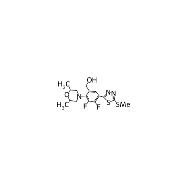 CSc1nnc(-c2cc(CO)c(N3CC(C)OC(C)C3)c(F)c2F)s1